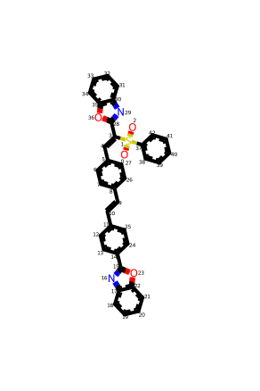 O=S(=O)(C(=Cc1ccc(C=Cc2ccc(-c3nc4ccccc4o3)cc2)cc1)c1nc2ccccc2o1)c1ccccc1